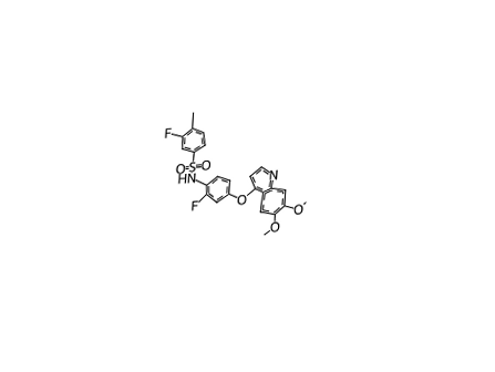 COc1cc2nccc(Oc3ccc(NS(=O)(=O)c4ccc(C)c(F)c4)c(F)c3)c2cc1OC